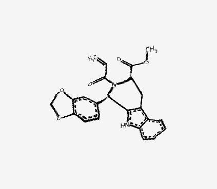 C=CC(=O)N1[C@H](c2ccc3c(c2)OCO3)c2[nH]c3ccccc3c2C[C@@H]1C(=O)OC